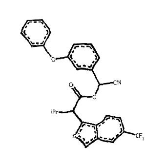 CC(C)C(C(=O)OC(C#N)c1cccc(Oc2ccccc2)c1)c1scc2cc(C(F)(F)F)ccc12